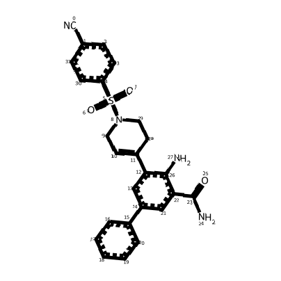 N#Cc1ccc(S(=O)(=O)N2CC=C(c3cc(-c4ccccc4)cc(C(N)=O)c3N)CC2)cc1